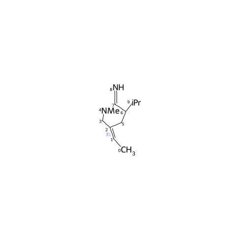 C/C=C(/CNC)CC(C=N)C(C)C